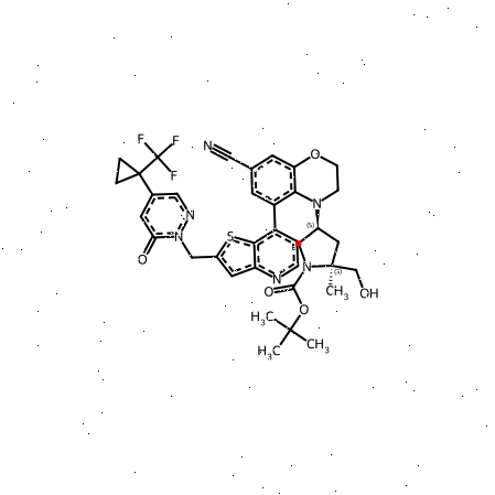 CC(C)(C)OC(=O)N1C[C@@H](N2CCOc3cc(C#N)cc(-c4ccnc5cc(Cn6ncc(C7(C(F)(F)F)CC7)cc6=O)sc45)c32)C[C@@]1(C)CO